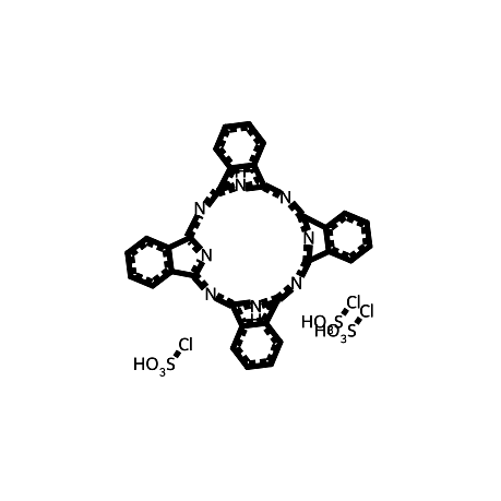 O=S(=O)(O)Cl.O=S(=O)(O)Cl.O=S(=O)(O)Cl.c1ccc2c(c1)-c1nc-2nc2[nH]c(nc3nc(nc4[nH]c(n1)c1ccccc41)-c1ccccc1-3)c1ccccc21